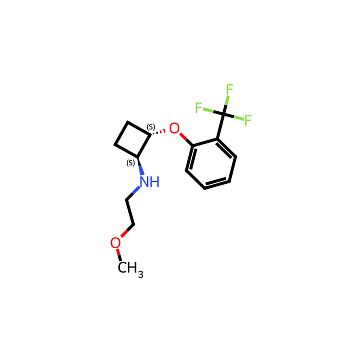 COCCN[C@H]1CC[C@@H]1Oc1ccccc1C(F)(F)F